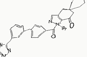 CC(C)[N+]1(C(=O)c2ccc(-c3cccc(-c4nnn[nH]4)c3)cc2)N=CC2=C1C(=O)CC1(CCNCC1)C2